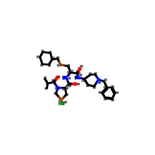 CC(C)C(=O)N1CSC[C@H]1C(=O)N[C@@H](CSCC1CCCCC1)C(=O)NC1CCN(Cc2ccccc2)CC1.Cl